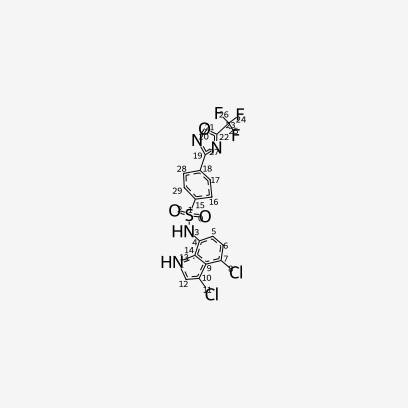 O=S(=O)(Nc1ccc(Cl)c2c(Cl)c[nH]c12)c1ccc(-c2noc(C(F)(F)F)n2)cc1